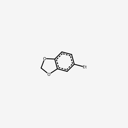 CCc1ccc2c(c1)OCO2